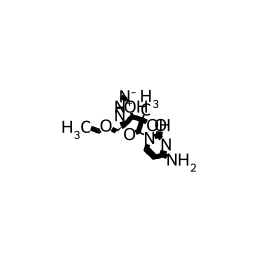 CCOC[C@@]1(N=[N+]=[N-])O[C@@H](n2ccc(N)nc2=O)[C@](C)(O)[C@@H]1O